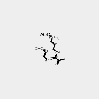 C=C(C)C(=O)OCCC[SiH2]OC.CC=C[C]=O